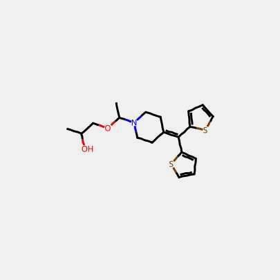 CC(O)COC(C)N1CCC(=C(c2cccs2)c2cccs2)CC1